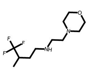 CC(CCNCCN1CCOCC1)C(F)(F)F